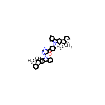 CC1(C)c2ccccc2-c2cc3c4ccccc4n(-c4ccc5oc6c(-n7c8ccccc8c8cc9c(cc87)C(C)(C)c7ccccc7-9)ncnc6c5c4)c3cc21